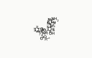 CC(C)OC(=O)[C@H](C)N[P@](=O)(OC[C@H]1C(C)[C@@H](n2cnc3c(N)ncnc32)[C@H](F)[C@@H]1O)Oc1ccccc1